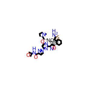 CCCCc1c(-c2nc(O[C@@H](C)[C@@H]3CCCN3C)cc(-n3ccc(C(=O)NC4COC4)n3)n2)noc1[C@H]1CCCc2sc(N)c(C#N)c21